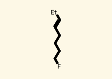 CCC=CCCCCF